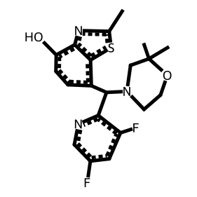 Cc1nc2c(O)ccc(C(c3ncc(F)cc3F)N3CCOC(C)(C)C3)c2s1